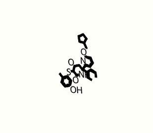 C/C=C\C(=C/C)C1(c2cccc(OCC3CCCC3)n2)CC(=O)C(Sc2cc(O)ccc2C)C(=O)N1